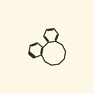 c1ccc2c(c#1)CCCCCCc1ccccc1-2